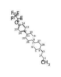 CCCC[C@H]1CC[C@H]([C@H]2CC[C@H](c3ccc(OC(F)C(F)(F)F)cc3)CC2)CC1